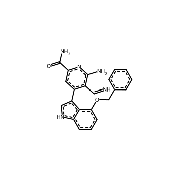 N=Cc1c(-c2c[nH]c3cccc(OCc4ccccc4)c23)cc(C(N)=O)nc1N